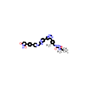 Cc1cc(-c2ncnn3cc(-c4ccn5cc(CN6CCC(c7ccc(C8CCC(=O)NC8=O)cc7)CC6)nc5c4)cc23)ccc1CNC(=O)c1noc(C(C)(C)C)n1